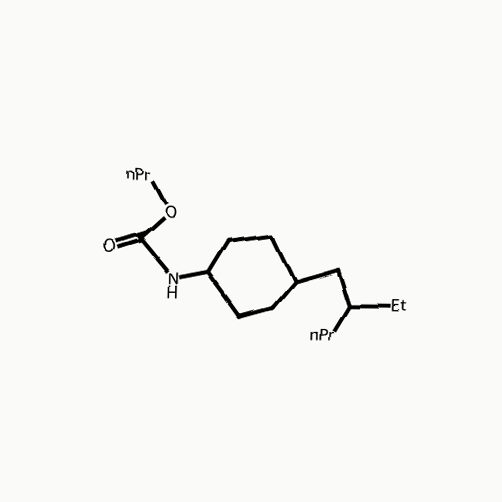 CCCOC(=O)NC1CCC(CC(CC)CCC)CC1